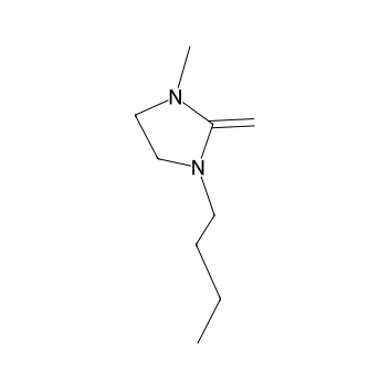 C=C1N(C)CCN1CCCC